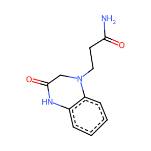 NC(=O)CCN1CC(=O)Nc2ccccc21